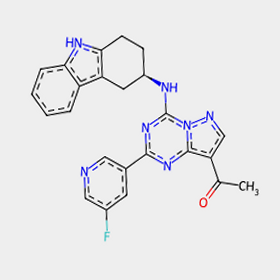 CC(=O)c1cnn2c(N[C@@H]3CCc4[nH]c5ccccc5c4C3)nc(-c3cncc(F)c3)nc12